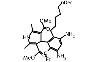 CCCCCCCCCCCCCCCc1c(N)cc(N)c(OCC)c1C1C(C(=O)OC)=C(C)NC(C)=C1C(=O)OC